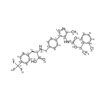 Cc1noc(-c2ccc(CN[C@H](Cc3ccc(C(F)(F)F)cc3)C(=O)O)cc2)c1NC(=O)OC(C)c1ccccc1Cl